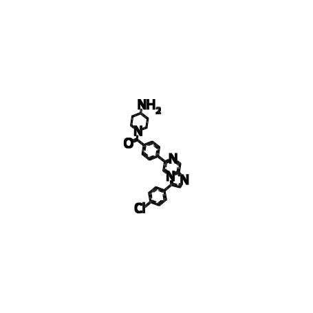 NC1CCN(C(=O)c2ccc(-c3cn4c(-c5ccc(Cl)cc5)cnc4cn3)cc2)CC1